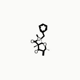 C=C1C(=O)[C@](C)(C(=O)OC)[C@H](CCc2ccccc2)O[C@@H]1C